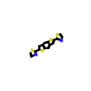 c1csc(-c2cc3cc4sc(-c5nccs5)cc4cc3s2)n1